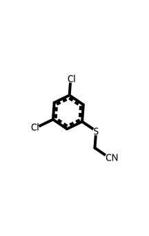 N#CCSc1cc(Cl)cc(Cl)c1